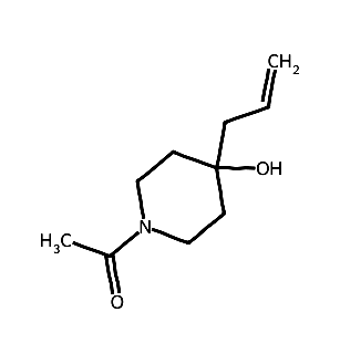 C=CCC1(O)CCN(C(C)=O)CC1